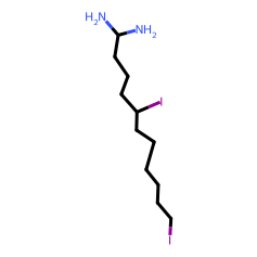 NC(N)CCCC(I)CCCCCCI